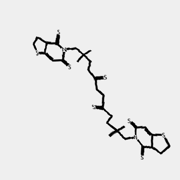 CC(C)(CCC(=S)CCC(=S)CCC(C)(C)CN1C(=S)C=C2SCCC2C1=S)CN1C(=S)C=C2SCCC2C1=S